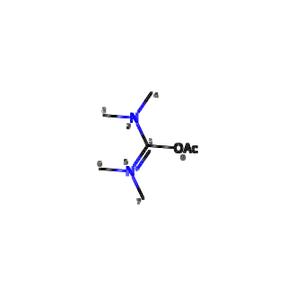 CC(=O)OC(N(C)C)=[N+](C)C